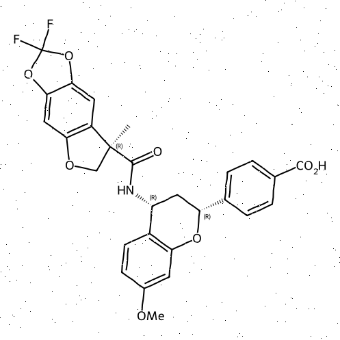 COc1ccc2c(c1)O[C@@H](c1ccc(C(=O)O)cc1)C[C@H]2NC(=O)[C@@]1(C)COc2cc3c(cc21)OC(F)(F)O3